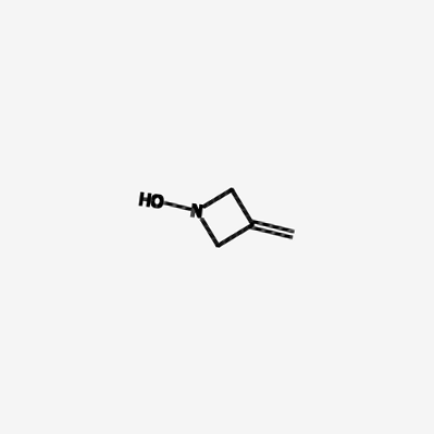 C=C1CN(O)C1